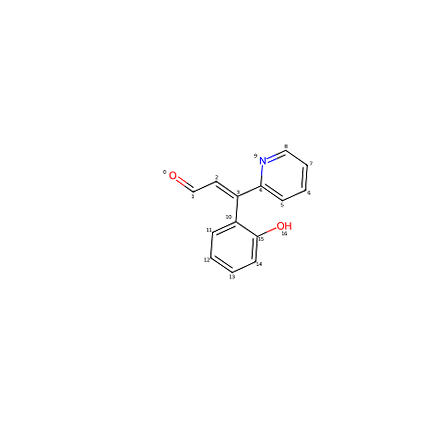 O=CC=C(c1ccccn1)c1ccccc1O